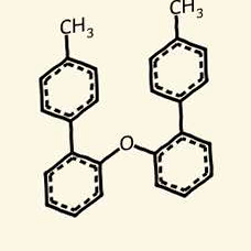 Cc1ccc(-c2ccccc2Oc2ccccc2-c2ccc(C)cc2)cc1